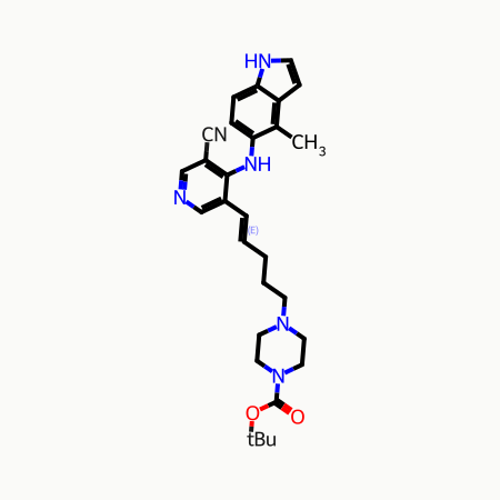 Cc1c(Nc2c(C#N)cncc2/C=C/CCCN2CCN(C(=O)OC(C)(C)C)CC2)ccc2[nH]ccc12